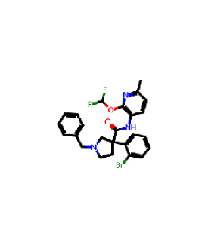 Cc1ccc(NC(=O)C2(c3ccccc3Br)CCN(Cc3ccccc3)C2)c(OC(F)F)n1